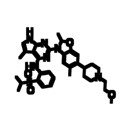 COCCN1CCC(c2cc3c(cc2C)N(c2nc(Nc4ccccc4S(=O)(=O)C(C)C)c4c(C)c[nH]c4n2)C(C)O3)CC1